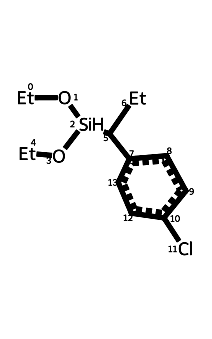 CCO[SiH](OCC)C(CC)c1ccc(Cl)cc1